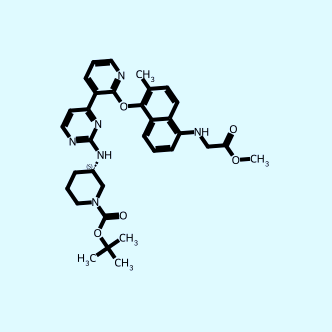 COC(=O)CNc1cccc2c(Oc3ncccc3-c3ccnc(N[C@H]4CCCN(C(=O)OC(C)(C)C)C4)n3)c(C)ccc12